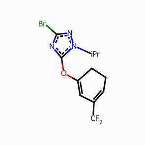 CC(C)n1nc(Br)nc1OC1=CC(C(F)(F)F)=CCC1